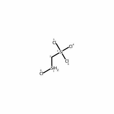 Cl[SiH2]C[Si](Cl)(Cl)Cl